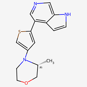 C[C@@H]1COCCN1c1csc(-c2cncc3[nH]ccc23)c1